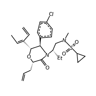 C=CC[C@@H]1O[C@H](/C(C=C)=C/C)[C@@H](c2ccc(Cl)cc2)N([C@@H](CC)CN(C)S(=O)(=O)C2CC2)C1=O